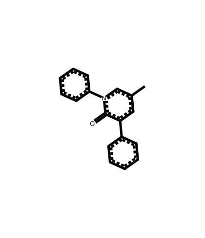 Cc1cc(-c2ccccc2)c(=O)n(-c2ccccc2)c1